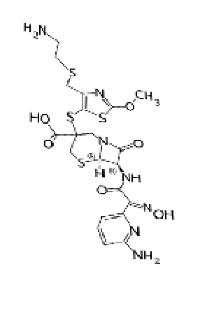 COc1nc(CSCCN)c(SC2(C(=O)O)CS[C@@H]3[C@H](NC(=O)C(=NO)c4cccc(N)n4)C(=O)N3C2)s1